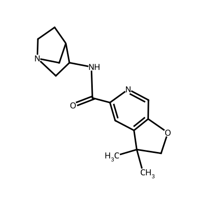 CC1(C)COc2cnc(C(=O)NC3CN4CCC3C4)cc21